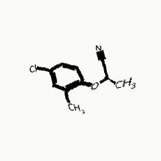 Cc1cc(Cl)ccc1O[C@H](C)C#N